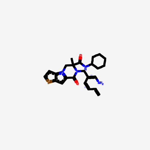 C=C/C=C\C(=C/N)CN1C(=O)c2cc3sccc3n2CC1(C)C(=O)NC1CCCCC1